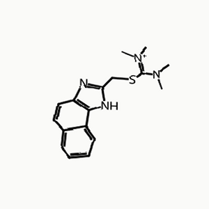 CN(C)C(SCc1nc2ccc3ccccc3c2[nH]1)=[N+](C)C